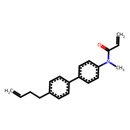 C=CCCc1ccc(-c2ccc(N(C)C(=O)C=C)cc2)cc1